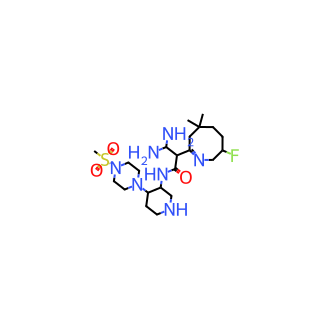 CC1(C)CCC(F)C/N=C(/C(C(=O)NC2CNCCC2N2CCN(S(C)(=O)=O)CC2)C(N)N)C1